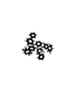 C=C(/C=C\C(C)(c1cc#ccc1)C(C)(C)C)N(c1cc2c(cc1C)C(C)(C)CCC2(C)C)c1cccc(N(c2cc(-c3ccccc3)ccc2C)c2cc3c(cc2C)C(C)(C)CCC3(C)C)c1C